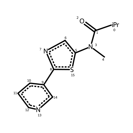 CC(C)C(=O)N(C)c1cnc(-c2cccnc2)s1